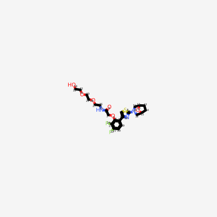 O=C(COc1c(-c2csc(N3CC4CCC(C3)O4)n2)ccc(F)c1F)NCCOCCOCCO